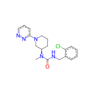 CN(C(=O)NCc1ccccc1Cl)[C@@H]1CCCN(c2cccnn2)C1